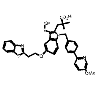 COc1ccc(-c2ccc(Cn3c(CC(C)(C)C(=O)O)c(SC(C)(C)C)c4cc(OCCc5nc6ccccc6s5)ccc43)cc2)nc1